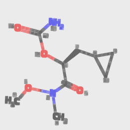 CON(C)C(=O)[C@H](CC1CC1)OC(N)=O